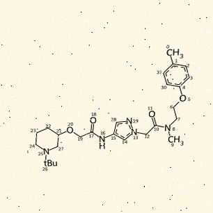 Cc1ccc(OCCN(C)C(=O)Cn2cc(NC(=O)COC3CCCN(C(C)(C)C)C3)cn2)cc1